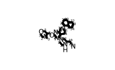 CN1CCOCC1COc1nc2c(c(N3CCNC(CC#N)C3)n1)CCN(c1cccc3ccccc13)C2